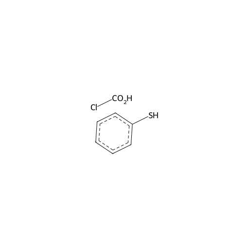 O=C(O)Cl.Sc1ccccc1